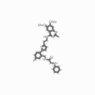 COc1cc2nc(C)nc(NCCc3ccc(-c4ccc(F)cc4CNC(=O)CNc4ccccc4)s3)c2cc1OC